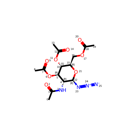 CC(=O)N[C@@H]1[C@@H](OC(C)=O)[C@H](OC(C)=O)[C@@H](COC(C)=O)O[C@H]1N=[N+]=[N-]